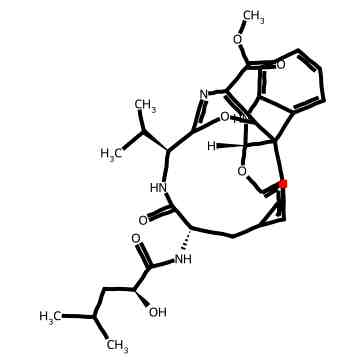 COC(=O)c1nc2oc1C13c4ccccc4N[C@H]1Oc1ccc(cc13)C[C@H](NC(=O)[C@@H](O)CC(C)C)C(=O)N[C@H]2C(C)C